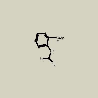 CCC(Br)Oc1ccccc1OC